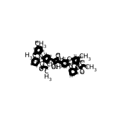 C=C(C)C(=O)OC1CCCCC1N(c1ccc(C2=C(O)C(=C3C=CC(N(c4ccc(C)cc4C)C4CCCCC4OC(=O)C(=C)C)C=C3)C2=O)cc1)c1ccc(C)cc1C